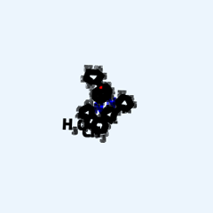 CC1(C)c2ccccc2-c2c(N(c3ccccc3)c3cccc4c5ccccc5n(-c5ccc(-c6ccccc6)cc5)c34)cccc21